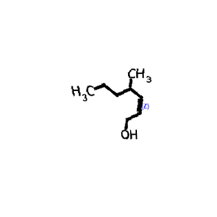 CCCC(C)/C=C\CO